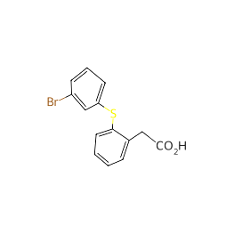 O=C(O)Cc1ccccc1Sc1cccc(Br)c1